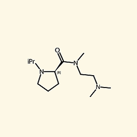 CC(C)N1CCC[C@@H]1C(=O)N(C)CCN(C)C